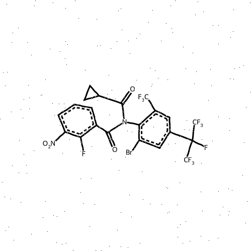 O=C(c1cccc([N+](=O)[O-])c1F)N(C(=O)C1CC1)c1c(Br)cc(C(F)(C(F)(F)F)C(F)(F)F)cc1C(F)(F)F